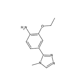 CCOc1cc(-c2nncn2C)ccc1N